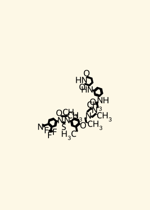 CCc1cc(N2C(=S)N(c3ccc(C#N)c(C(F)(F)F)c3)C(=O)C2(C)C)ccc1O[C@H](C)CN1C[C@@H](C)N(CC(=O)Nc2cccc(NC3CCC(=O)NC3=O)c2)[C@@H](C)C1